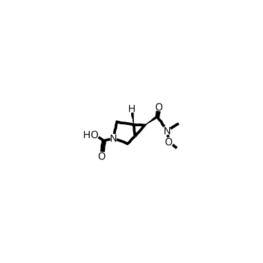 CON(C)C(=O)[C@H]1C2CN(C(=O)O)C[C@@H]21